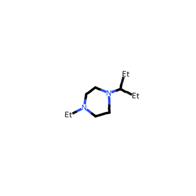 [CH2]CN1CCN(C(CC)CC)CC1